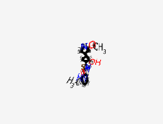 COc1cc(-c2ccc(-c3nnc(O[C@H]4CC5CC[C@](C)(C4)N5)s3)c(O)c2)ccn1